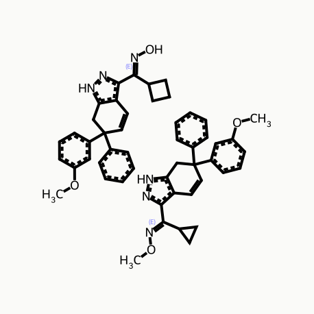 CO/N=C(/c1n[nH]c2c1C=CC(c1ccccc1)(c1cccc(OC)c1)C2)C1CC1.COc1cccc(C2(c3ccccc3)C=Cc3c(/C(=N/O)C4CCC4)n[nH]c3C2)c1